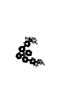 C[Si](C)(C)c1ccc(-c2cccc([Si](c3ccccc3)(c3ccccc3)c3cccc(-c4ccc([Si](C)(C)C)cn4)c3)c2)nc1